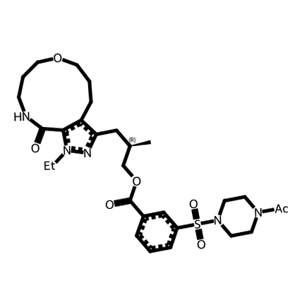 CCn1nc(C[C@@H](C)COC(=O)c2cccc(S(=O)(=O)N3CCN(C(C)=O)CC3)c2)c2c1C(=O)NCCCOCCC2